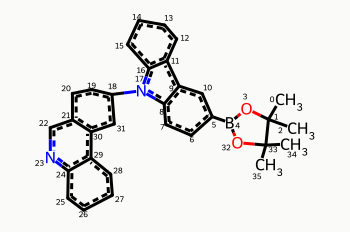 CC1(C)OB(c2ccc3c(c2)c2ccccc2n3-c2ccc3cnc4ccccc4c3c2)OC1(C)C